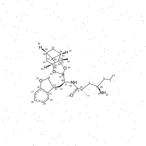 CCC[C@@H](N)C[C@H](C)C(=O)N[C@@H](C[C@@H]1COc2ccccc21)B1O[C@@H]2C[C@@H]3C[C@@H](C3(C)C)[C@]2(C)O1